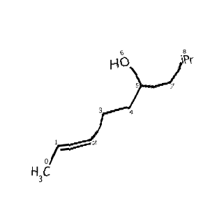 C/C=C/CCC(O)CC(C)C